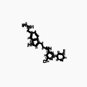 CC(C)NCc1ccc2c(CCNc3cc(Cl)nc(-c4cncc(F)c4)n3)c[nH]c2c1